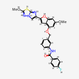 COc1cc(OCc2cccc(NC(=O)c3ccc(F)cc3)c2)c2cc(-c3cn4nc(OC)sc4n3)oc2c1